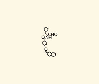 O=C[C@H](Cc1ccccc1)NC(=O)c1ccc(COSc2ccc3ccccc3c2)cc1